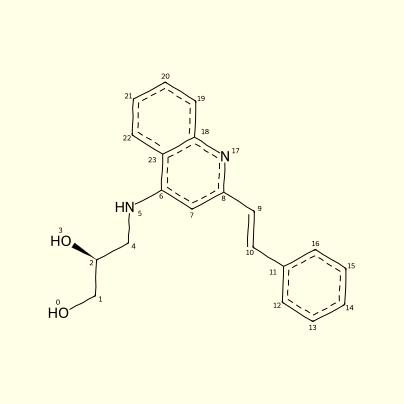 OC[C@@H](O)CNc1cc(/C=C/c2ccccc2)nc2ccccc12